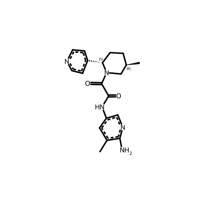 Cc1cc(NC(=O)C(=O)N2C[C@H](C)CC[C@H]2c2ccncc2)cnc1N